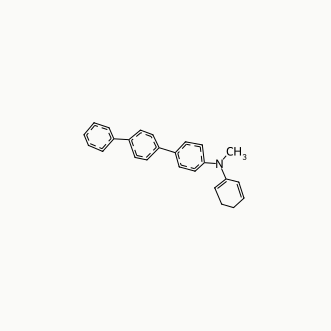 CN(C1=CCCC=C1)c1ccc(-c2ccc(-c3ccccc3)cc2)cc1